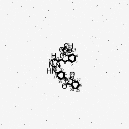 CN(c1ccccc1CCc1ccnc(Nc2ccc(N3C(=O)c4ccccc4C3=O)cc2)n1)S(C)(=O)=O